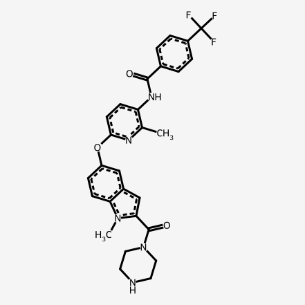 Cc1nc(Oc2ccc3c(c2)cc(C(=O)N2CCNCC2)n3C)ccc1NC(=O)c1ccc(C(F)(F)F)cc1